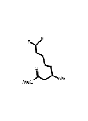 CCCC(CCCCC(F)F)CC(=O)OC